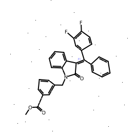 COC(=O)c1cccc(CN2C(=O)/C(=C(\c3ccccc3)c3ccc(F)c(F)c3)c3ccccc32)c1